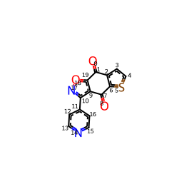 O=C1c2ccsc2C(=O)c2c(-c3ccncc3)noc21